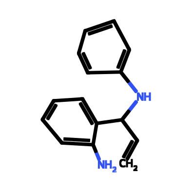 C=CC(Nc1ccccc1)c1ccccc1N